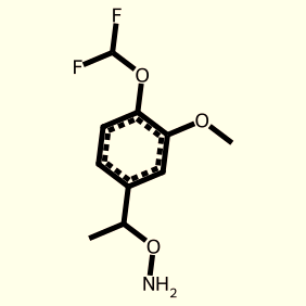 COc1cc(C(C)ON)ccc1OC(F)F